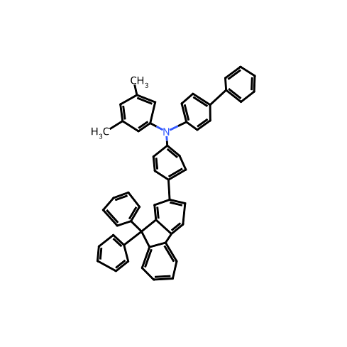 Cc1cc(C)cc(N(c2ccc(-c3ccccc3)cc2)c2ccc(-c3ccc4c(c3)C(c3ccccc3)(c3ccccc3)c3ccccc3-4)cc2)c1